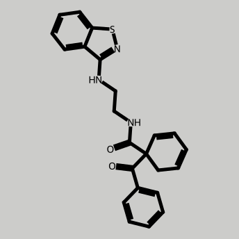 O=C(NCCNc1nsc2ccccc12)C1(C(=O)c2ccccc2)C=CC=CC1